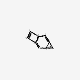 C1=CC2C=C3C=C3C=C12